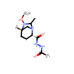 CC1N2C[C@H](CC[C@H]2C(=O)NNC(=O)C(F)(F)F)N1OS(=O)(=O)O